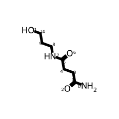 NC(=O)CCC(=O)NCCCO